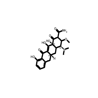 COC1C(C(N)=O)C(=O)[C@@]2(O)C(O)=C3C(=O)c4c(O)cccc4C[C@H]3CC2[C@@H]1N(C)C